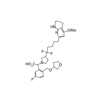 COc1cc(CCCCC(F)(F)C2CCN(C(C(=O)O)c3cc(F)ccc3COC3CCOC3)C2)nc2c1CCCN2